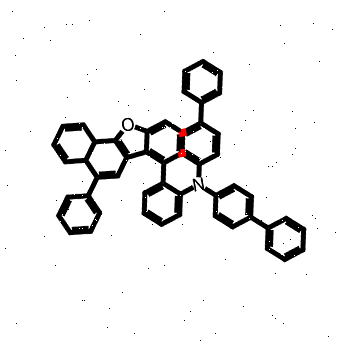 C1=CC2C(c3ccccc3)=Cc3c(oc4cccc(-c5ccccc5N(c5ccc(-c6ccccc6)cc5)c5ccc(-c6ccccc6)cc5)c34)C2C=C1